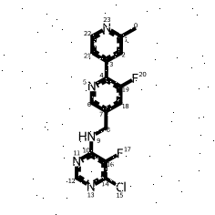 Cc1cc(-c2ncc(CNc3ncnc(Cl)c3F)cc2F)ccn1